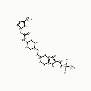 Cc1cnn(CC(=O)N[C@H]2CC[C@H](CCN3CCc4sc(OCC(C)(F)F)nc4C3)CC2)c1